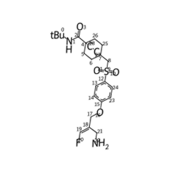 CC(C)(C)NC(=O)C12CCC(CS(=O)(=O)c3ccc(OCC(=CF)CN)cc3)(CC1)CC2